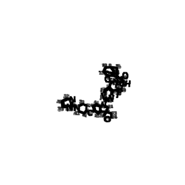 O=C(NC1(C(=O)O)C2CC3CC(C2)CC1C3)c1cnc(N2CC3(CCOC3)c3cc(OC4CCN(c5ncccn5)CC4)ccc32)nc1C(F)(F)F